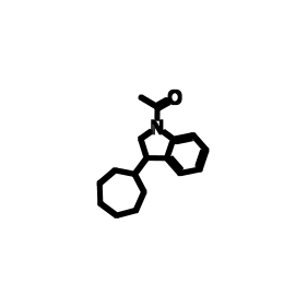 CC(=O)N1CC(C2CCCCCC2)c2ccccc21